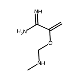 C=C(OCNC)C(=N)N